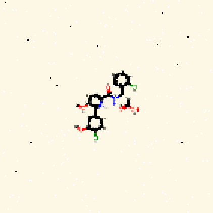 COc1cc(-c2nc(C(=O)N[C@@H](CC(=O)O)c3ccccc3Cl)ccc2OC)ccc1Cl